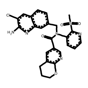 CS(=O)(=O)c1ncccc1N(Cc1ccc2cc(Cl)c(N)nc2c1)C(=O)c1cnc2c(c1)CCCO2